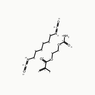 C=C(C)C(=O)OCCOC(N)=O.O=C=NCCCCCCN=C=O